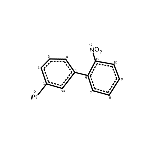 CC(C)c1cccc(-c2ccccc2[N+](=O)[O-])c1